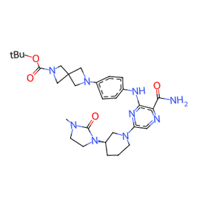 CN1CCN([C@@H]2CCCN(c3cnc(C(N)=O)c(Nc4ccc(N5CC6(CN(C(=O)OC(C)(C)C)C6)C5)cc4)n3)C2)C1=O